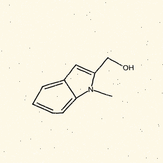 Cn1c(CO)cc2ccccc21